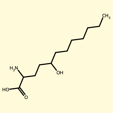 CCCCCCCC(O)CCC(N)C(=O)O